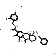 CN1[C@@H](Cc2ccccc2)CCN2C(=O)c3c(O)c(=O)c(C(=O)NCc4ccc(F)cc4F)cn3CC21C